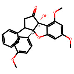 COc1ccc([C@@]23Oc4cc(OC)cc(OC)c4[C@]2(O)C(=O)CC3c2ccccc2)cc1